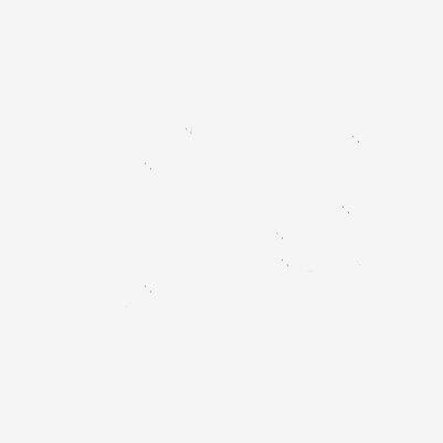 Cc1ccc(N2CCN(Cc3ccc([C@H]4C[C@@H](Nc5cnn(C)c(=O)c5Br)CN(C)C4)cc3)CC2)cc1C1CCC(=O)NC1=O